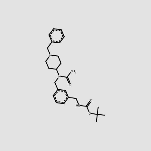 CC(C)(C)OC(=O)NCc1cccc(CN(C(N)=O)C2CCN(Cc3ccccc3)CC2)c1